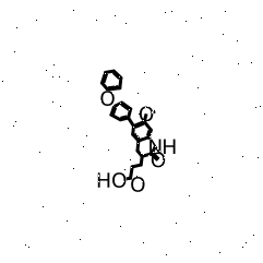 COc1cc2c(cc1-c1ccc(Oc3ccccc3)cc1)CC(CCC(=O)O)C(=O)N2